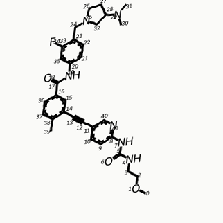 COCCNC(=O)Nc1ccc(C#Cc2cc(C(=O)Nc3ccc(CN4CCC(N(C)C)C4)c(F)c3)ccc2C)cn1